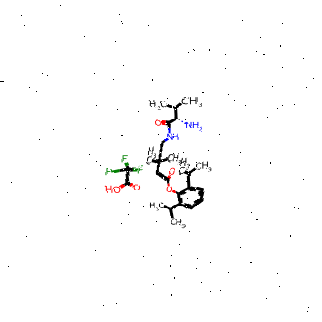 CC(C)c1cccc(C(C)C)c1OC(=O)CC(C)(C)CNC(=O)[C@@H](N)C(C)C.O=C(O)C(F)(F)F